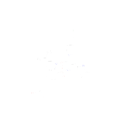 CC(C)C1CNc2c(cc(CCC(=O)O)cc2S(=O)(=O)NC(Cc2nc3ccccc3s2)C(=O)N2CCC(CCF)CC2)C1